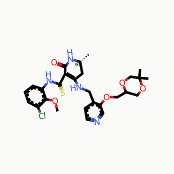 COc1c(Cl)cccc1NC(=S)C1=C(NCc2ccncc2OCC2COC(C)(C)CO2)C[C@@H](C)NC1=O